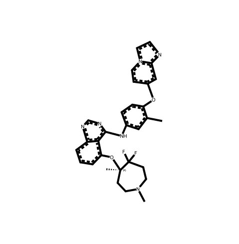 Cc1cc(Nc2ncnc3cccc(O[C@]4(C)CCN(C)CCC4(F)F)c23)ccc1Oc1ccn2ccnc2c1